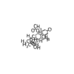 CC(=O)O[C@H]1C[C@@]2(C)[C@@H](C[C@H]3OC(C)(C)O[C@]32C(=O)CO)[C@@H]2C[C@H](F)C3=CC(=O)C=C[C@]3(C)[C@H]21